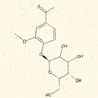 COc1cc(C(C)=O)ccc1O[C@@H]1OC(CO)[C@@H](O)C(O)C1O